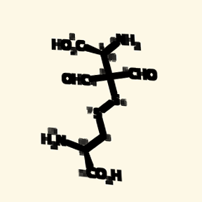 N[C@H](C(=O)O)C(C=O)(C=O)SSC[C@H](N)C(=O)O